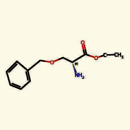 CCOC(=O)[C@H](N)COCc1ccccc1